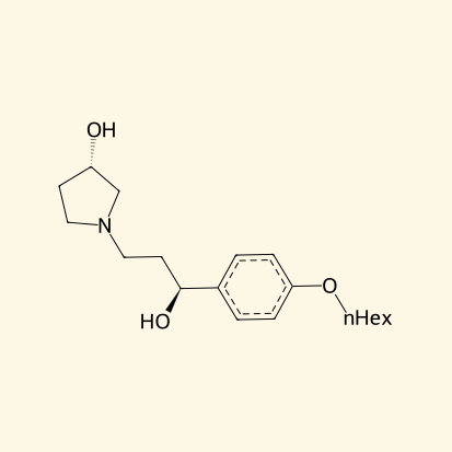 CCCCCCOc1ccc([C@@H](O)CCN2CC[C@H](O)C2)cc1